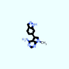 Cn1cc(-c2ccc3cn[nH]c3c2)c2c(N)ncnc21